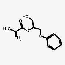 C=C(C)C(=O)OC(CO)COc1ccccc1